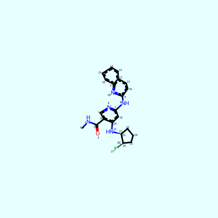 CNC(=O)c1cnc(Nc2ccc3ccccc3n2)cc1N[C@H]1CCC[C@H]1F